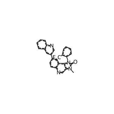 Cn1c(=O)n(-c2ccccc2C(F)(F)F)c2c3cc(-c4cnc5ccccc5c4)ccc3ncc21